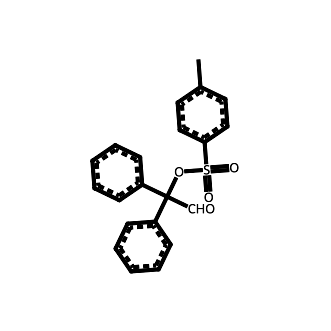 Cc1ccc(S(=O)(=O)OC(C=O)(c2ccccc2)c2ccccc2)cc1